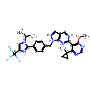 COc1ncnc(C2(C)CC2)c1-c1ncc2cnn(Cc3ccc(-c4nc(C(F)(F)F)cn4C(C)C)cc3)c2n1